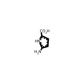 Nc1ccc(C(=O)O)[nH]1